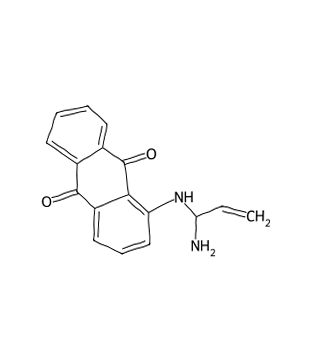 C=CC(N)Nc1cccc2c1C(=O)c1ccccc1C2=O